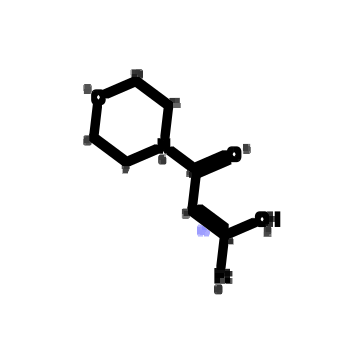 CC/C(O)=C/C(=O)N1CCOCC1